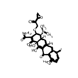 CN(C)[C@@H]1C(OCC(=O)C2CO2)C(C(N)=O)C(=O)[C@@]2(O)C(O)=C3C(=O)c4c(O)ccc(I)c4C[C@H]3C[C@@H]12